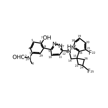 CN(C=O)c1ccc(O)c(-c2ccc(NCC3(c4ncccc4F)CC(F)C3)nn2)c1